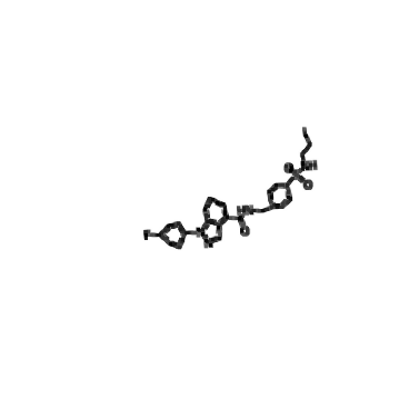 O=C(NCc1ccc(S(=O)(=O)NCCI)cc1)c1cccc2c1cnn2-c1ccc(F)cc1